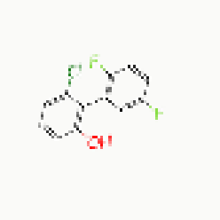 Oc1cccc(Cl)c1-c1cc(F)ccc1F